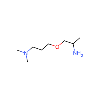 CC(N)COCCCN(C)C